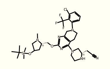 CN1CC(O[Si](C)(C)C(C)(C)C)C[C@H]1COc1nc2c(c(N3CCN[C@@H](CC#N)C3)n1)CCN(c1cccc(Cl)c1C(F)(F)F)C2